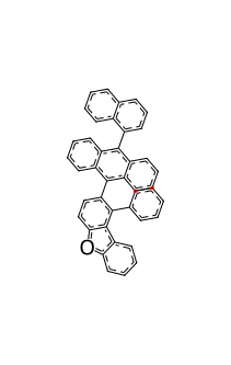 c1ccc(-c2c(-c3c4ccccc4c(-c4cccc5ccccc45)c4ccccc34)ccc3oc4ccccc4c23)cc1